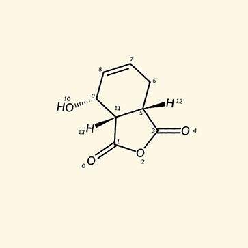 O=C1OC(=O)[C@H]2CC=C[C@@H](O)[C@@H]12